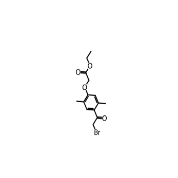 CCOC(=O)COc1cc(C)c(C(=O)CBr)cc1C